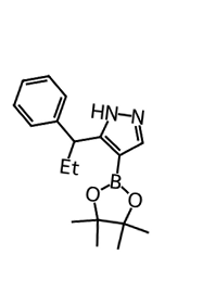 CCC(c1ccccc1)c1[nH]ncc1B1OC(C)(C)C(C)(C)O1